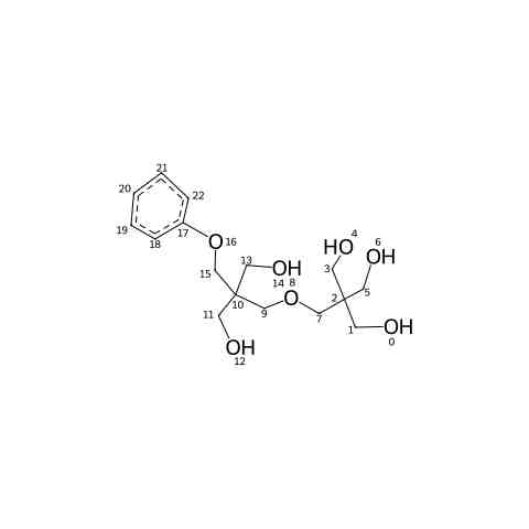 OCC(CO)(CO)COCC(CO)(CO)COc1ccccc1